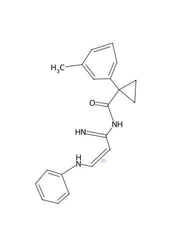 Cc1cccc(C2(C(=O)NC(=N)/C=C\Nc3ccccc3)CC2)c1